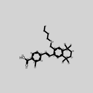 CCCCSCc1cc2c(cc1C=Cc1ccc(C(=O)O)c(C)c1)C(C)(C)CCC2(C)C